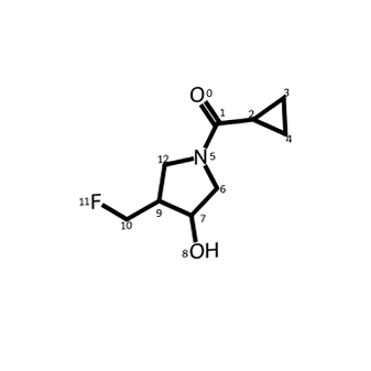 O=C(C1CC1)N1CC(O)C(CF)C1